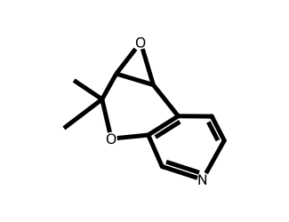 CC1(C)Oc2cnccc2C2OC21